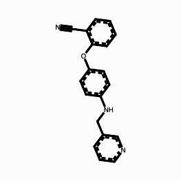 N#Cc1ccccc1Oc1ccc(NCc2cccnc2)cc1